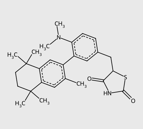 Cc1cc2c(cc1-c1cc(CC3SC(=O)NC3=O)ccc1N(C)C)C(C)(C)CCC2(C)C